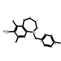 Cc1cc2c(c(C)c1N)CCCCN2Cc1ccc(F)cc1